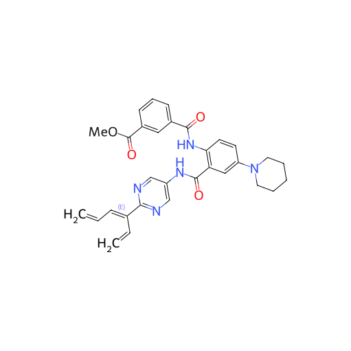 C=C/C=C(\C=C)c1ncc(NC(=O)c2cc(N3CCCCC3)ccc2NC(=O)c2cccc(C(=O)OC)c2)cn1